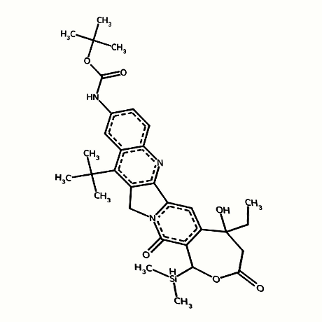 CCC1(O)CC(=O)OC([SiH](C)C)c2c1cc1n(c2=O)Cc2c-1nc1ccc(NC(=O)OC(C)(C)C)cc1c2C(C)(C)C